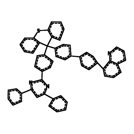 c1ccc(-c2cc(-c3ccccc3)nc(-c3ccc(C4(c5ccc(-c6ccc(-c7cccc8cccnc78)cc6)cc5)c5ccccc5Sc5ccccc54)cc3)n2)cc1